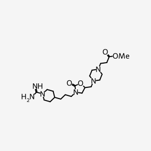 COC(=O)CCN1CCN(CC2CN(CCCC3CCN(C(=N)N)CC3)C(=O)O2)CC1